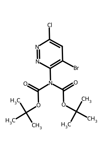 CC(C)(C)OC(=O)N(C(=O)OC(C)(C)C)c1nnc(Cl)cc1Br